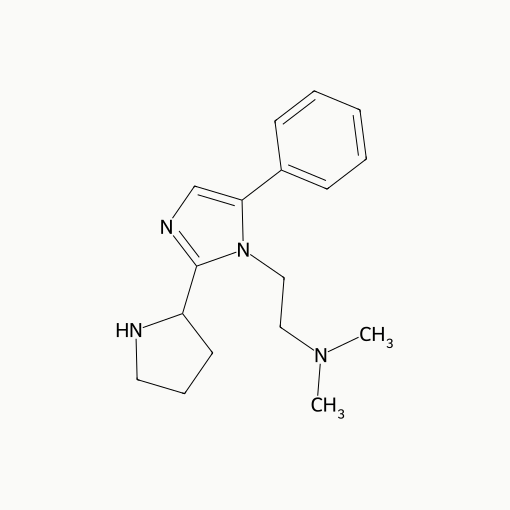 CN(C)CCn1c(-c2ccccc2)cnc1C1CCCN1